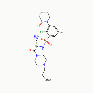 COCCN1CCN(C(=O)[C@H](CN)NS(=O)(=O)c2cc(F)cc(N3CCCCC3=O)c2Cl)CC1